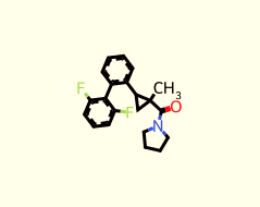 CC1(C(=O)N2CCCC2)CC1c1ccccc1-c1c(F)cccc1F